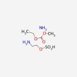 CCOC(=O)OC.N.NCCOS(=O)(=O)O